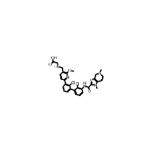 COc1nc(-c2cccc(-c3cccc(NC(=O)c4nc5c(n4C)CCN(C)C5)c3Cl)c2Cl)ccc1CNCC(=O)O